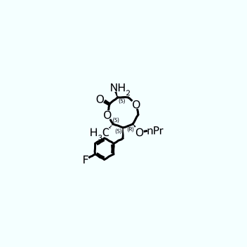 CCCO[C@H]1COC[C@H](N)C(=O)O[C@@H](C)[C@@H]1Cc1ccc(F)cc1